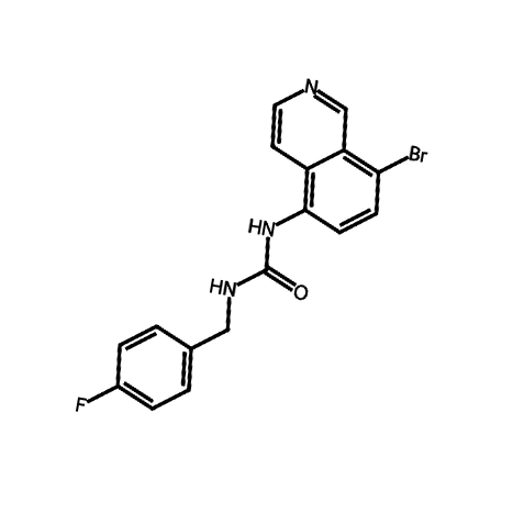 O=C(NCc1ccc(F)cc1)Nc1ccc(Br)c2cnccc12